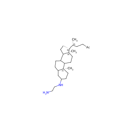 CC(=O)CC[C@@H](C)[C@H]1CCC2C3CCC4CC(NCCN)CC[C@]4(C)C3CC[C@@]21C